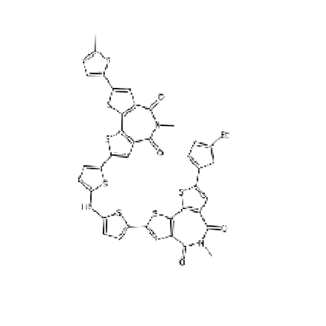 CCC1=CC=C(c2cc3c(=O)n(C)c(=O)c4cc(-c5ccc(Pc6ccc(-c7cc8c(=O)n(C)c(=O)c9cc(-c%10ccc(C)s%10)sc9c8s7)s6)s5)sc4c3s2)C1